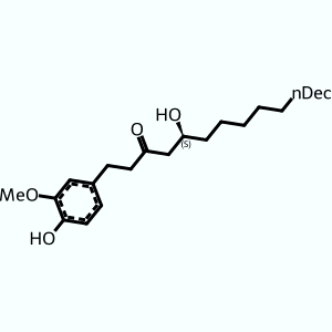 CCCCCCCCCCCCCCC[C@H](O)CC(=O)CCc1ccc(O)c(OC)c1